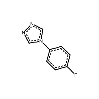 Fc1ccc(-n2cnnc2)cc1